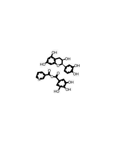 O=C(OC(=O)c1cc(O)c(O)c(O)c1)c1cccnc1.Oc1cc(O)c2c(c1)O[C@H](c1ccc(O)c(O)c1)[C@H](O)C2